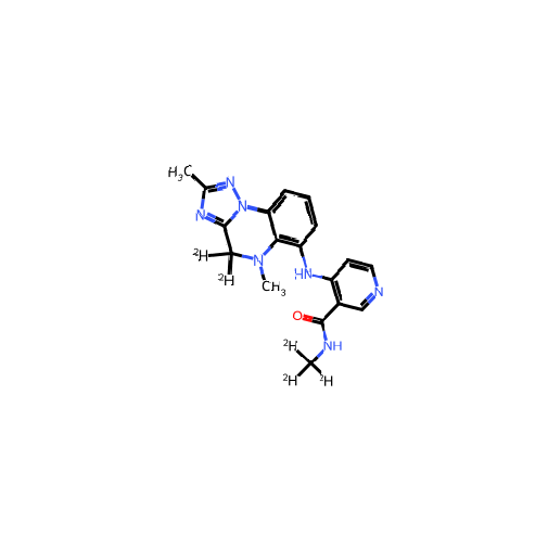 [2H]C([2H])([2H])NC(=O)c1cnccc1Nc1cccc2c1N(C)C([2H])([2H])c1nc(C)nn1-2